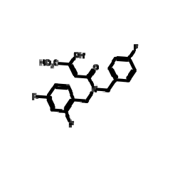 O=C(O)/C(O)=C/C(=O)N(Cc1ccc(F)cc1)Cc1ccc(F)cc1F